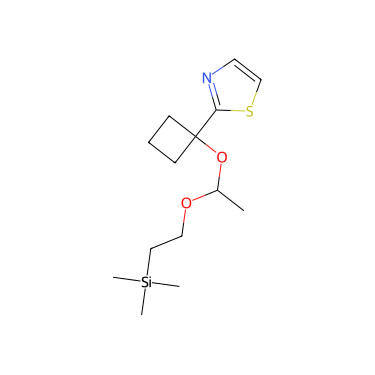 CC(OCC[Si](C)(C)C)OC1(c2nccs2)CCC1